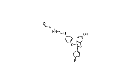 O=C/C=C/CNCCOc1ccc(Oc2c(-c3ccc(F)cc3)sc3cc(O)ccc23)cc1